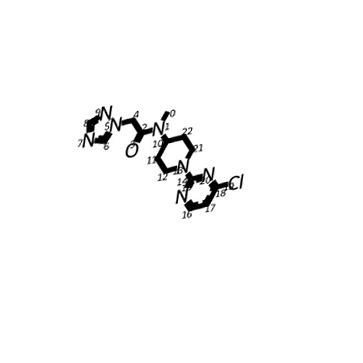 CN(C(=O)Cn1cncn1)C1CCN(c2nccc(Cl)n2)CC1